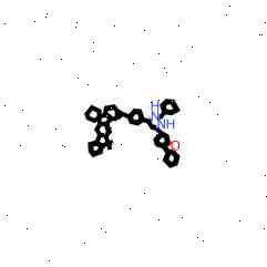 CC1(C)c2ccccc2C2CC3C(=CC21)C1=C(C=CC2C1C2c1ccc(C2C=C(c4ccc5c(c4)oc4ccccc45)NC(c4ccccc4)N2)cc1)C31CCCCC1